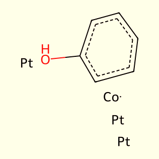 Oc1ccccc1.[Co].[Pt].[Pt].[Pt]